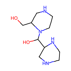 OCC1CNCCN1C(O)C1CNCCN1